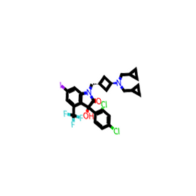 O=C1N(C[C@H]2C[C@H](N(CC3CC3)CC3CC3)C2)c2cc(I)cc(C(F)(F)F)c2C1(O)c1ccc(Cl)cc1Cl